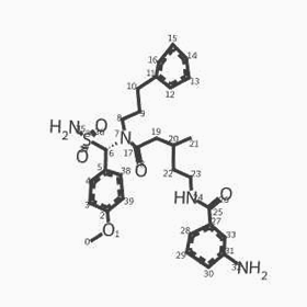 COc1ccc([C@@H](N(CCCc2ccccc2)C(=O)CC(C)CCNC(=O)c2cccc(N)c2)S(N)(=O)=O)cc1